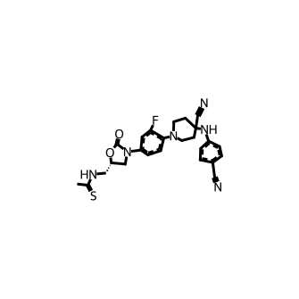 CC(=S)NC[C@H]1CN(c2ccc(N3CCC(C#N)(Nc4ccc(C#N)cc4)CC3)c(F)c2)C(=O)O1